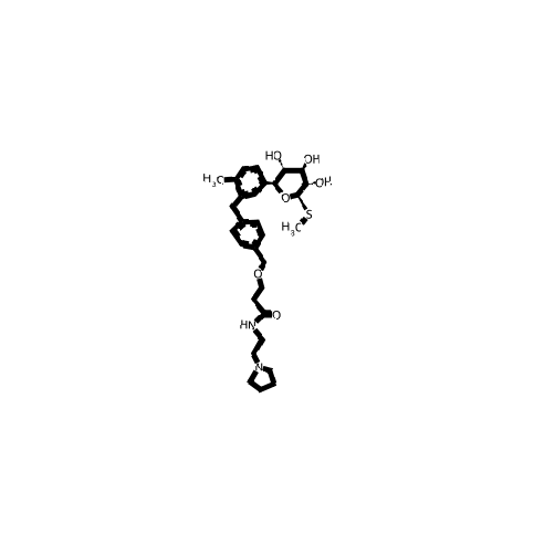 CS[C@H]1O[C@@H](c2ccc(C)c(Cc3ccc(COCCC(=O)NCCN4CCCC4)cc3)c2)[C@H](O)[C@@H](O)[C@@H]1O